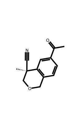 CC(=O)c1ccc2c(c1)[C@](C)(C#N)COC2